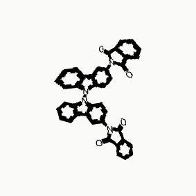 O=C1c2ccccc2C(=O)N1c1ccc2c(c1)c1ccccc1n2-n1c2ccccc2c2cc(N3C(=O)c4ccccc4C3=O)ccc21